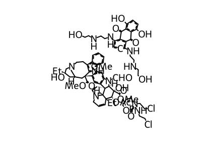 CC[C@]1(O)C[C@H]2CN(CCc3c([nH]c4ccccc34)[C@@](C(=O)OC)(c3cc4c(cc3OC)N(C=O)[C@H]3[C@@](O)(C(=O)OC)[C@H](OC(C)=O)[C@]5(CC)C=CCN6CC[C@]43[C@@H]65)C2)C1.O=C1c2c(O)ccc(O)c2C(=O)c2c(NCCNCCO)ccc(NCCNCCO)c21.O=P1(NCCCl)OCCCN1CCCl